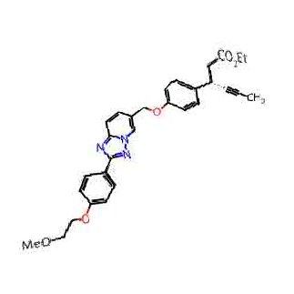 CC#C[C@@H](CC(=O)OCC)c1ccc(OCc2ccc3nc(-c4ccc(OCCOC)cc4)nn3c2)cc1